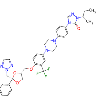 CCC(C)n1ncn(-c2ccc(N3CCN(c4ccc(OC[C@@H]5CO[C@@](Cn6nccn6)(c6ccccc6)O5)c(C(F)(F)F)c4)CC3)cc2)c1=O